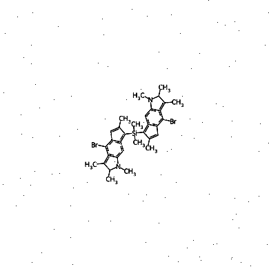 CC1=Cc2c(Br)c3c(cc2=C1[Si](C)(C)C1=c2cc4c(c(Br)c2C=C1C)=C(C)C(C)N4C)N(C)C(C)C=3C